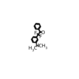 CN(C)c1cccc(C(F)(F)C(=O)c2ccccc2)c1